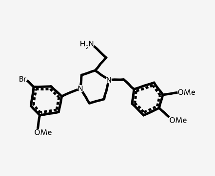 COc1cc(Br)cc(N2CCN(Cc3ccc(OC)c(OC)c3)C(CN)C2)c1